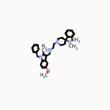 COc1ccc2c(c1)c(CNCCN1CCC(c3ccccc3)(N(C)C)CC1)c(C)n2Cc1ccccc1